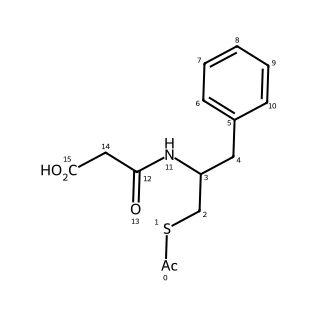 CC(=O)SCC(Cc1ccccc1)NC(=O)CC(=O)O